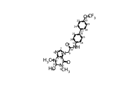 CN1C(=O)c2c(ncn2CC(=O)Nc2ccc(-c3ccc(OC(F)(F)F)cc3)cc2)N(C)C1O